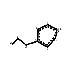 CCCc1ccncc1